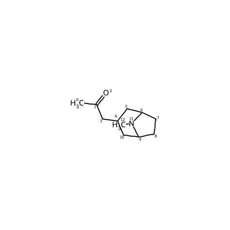 CC(=O)CC1CC2CCC(C1)N2C